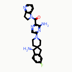 Nc1nc(N2CCC3(CC2)Cc2cc(F)ccc2[C@H]3N)cnc1C(=O)N1CCc2ncccc21